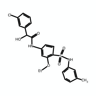 CCOc1cc(NC(=O)C(O)c2cccc(Cl)c2)ccc1S(=O)(=O)Nc1cccc(C)c1